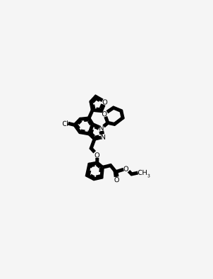 CCOC(=O)Cc1ccccc1OCc1nn(C2CCCCO2)c2c(-c3ccoc3)cc(Cl)cc12